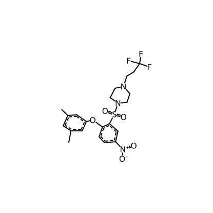 Cc1cc(C)cc(Oc2ccc([N+](=O)[O-])cc2S(=O)(=O)N2CCN(CCC(F)(F)F)CC2)c1